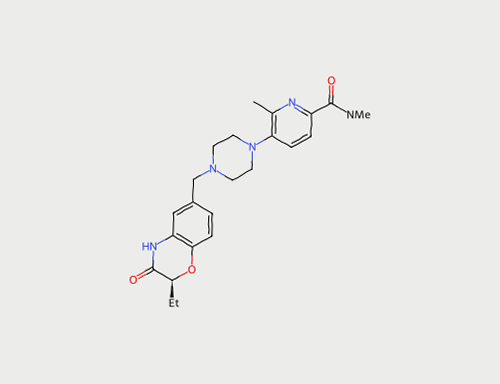 CC[C@@H]1Oc2ccc(CN3CCN(c4ccc(C(=O)NC)nc4C)CC3)cc2NC1=O